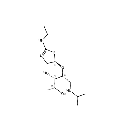 CCNC1=NC[C@H](O[C@H](CNC(C)C)[C@@H](O)[C@@H](C)O)S1